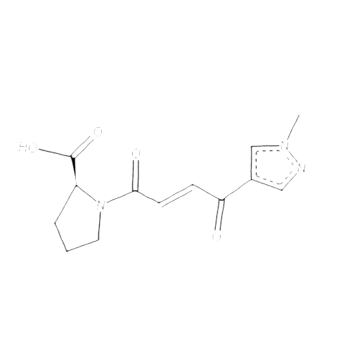 Cn1cc(C(=O)C=CC(=O)N2CCC[C@H]2C(=O)O)cn1